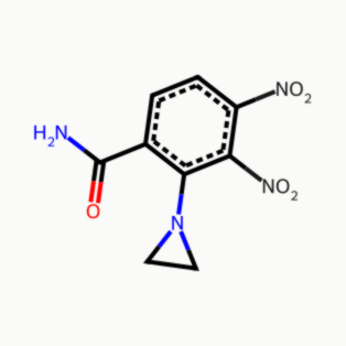 NC(=O)c1ccc([N+](=O)[O-])c([N+](=O)[O-])c1N1CC1